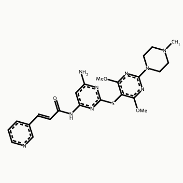 COc1nc(N2CCN(C)CC2)nc(OC)c1Sc1nc(N)cc(NC(=O)/C=C/c2cccnc2)n1